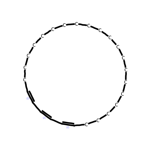 [C]1=C/C=C\C=C/CCCCCCCCCCCCCCCCCCCC\1